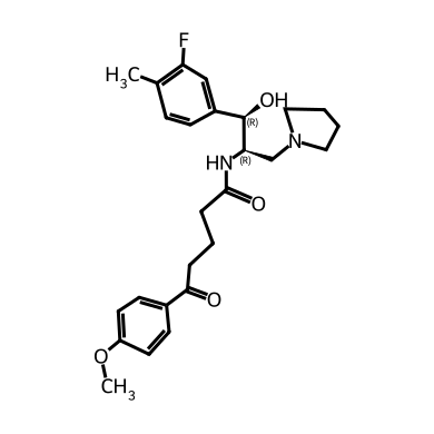 COc1ccc(C(=O)CCCC(=O)N[C@H](CN2CCCC2)[C@H](O)c2ccc(C)c(F)c2)cc1